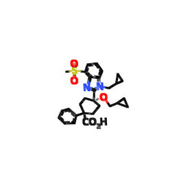 CS(=O)(=O)c1cccc2c1nc([C@]1(OCC3CC3)CC[C@@](C(=O)O)(c3ccccc3)CC1)n2CC1CC1